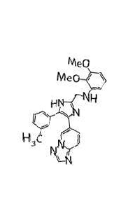 COc1cccc(NCc2nc(-c3ccc4ncnn4c3)c(-c3cccc(C)c3)[nH]2)c1OC